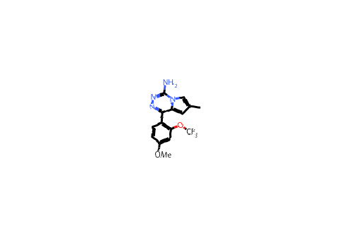 COc1ccc(-c2nnc(N)n3cc(C)cc23)c(OC(F)(F)F)c1